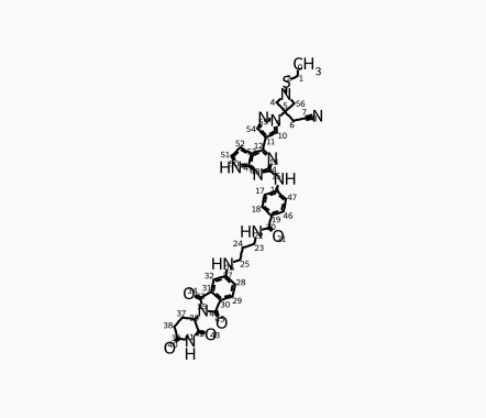 CCSN1CC(CC#N)(n2cc(-c3nc(Nc4ccc(C(=O)NCCCNc5ccc6c(c5)C(=O)N(C5CCC(=O)NC5=O)C6=O)cc4)nc4[nH]ccc34)cn2)C1